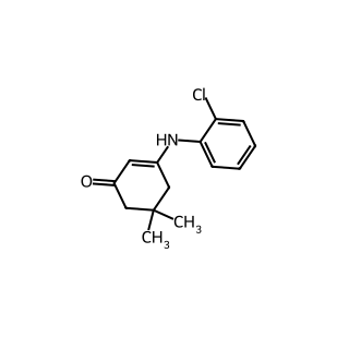 CC1(C)CC(=O)C=C(Nc2ccccc2Cl)C1